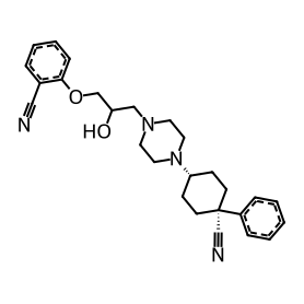 N#Cc1ccccc1OCC(O)CN1CCN([C@H]2CC[C@](C#N)(c3ccccc3)CC2)CC1